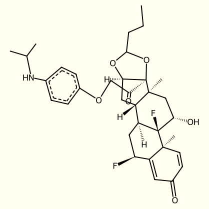 CCCC1O[C@@H]2C[C@H]3[C@@H]4C[C@H](F)C5=CC(=O)C=C[C@]5(C)[C@@]4(F)[C@@H](O)C[C@]3(C)[C@]2(C(=O)COc2ccc(NC(C)C)cc2)O1